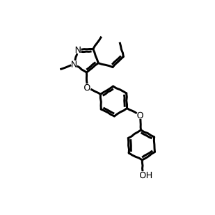 C/C=C\c1c(C)nn(C)c1Oc1ccc(Oc2ccc(O)cc2)cc1